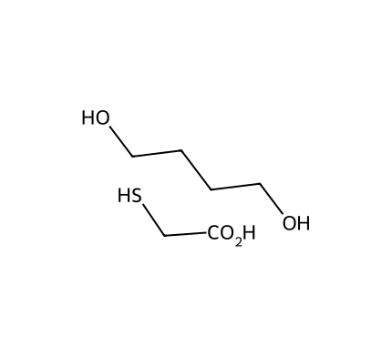 O=C(O)CS.OCCCCO